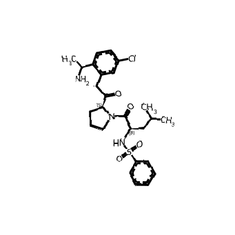 CC(C)C[C@@H](NS(=O)(=O)c1ccccc1)C(=O)N1CCC[C@H]1C(=O)[CH]c1cc(Cl)ccc1C(C)N